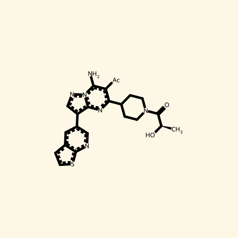 CC(=O)c1c(C2CCN(C(=O)[C@@H](C)O)CC2)nc2c(-c3cnc4sccc4c3)cnn2c1N